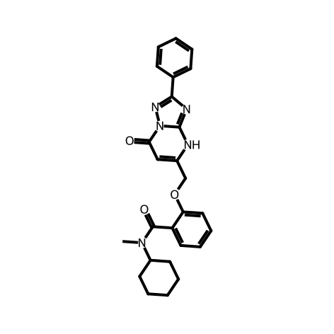 CN(C(=O)c1ccccc1OCc1cc(=O)n2nc(-c3ccccc3)nc2[nH]1)C1CCCCC1